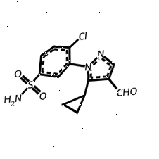 NS(=O)(=O)c1ccc(Cl)c(-n2ncc(C=O)c2C2CC2)c1